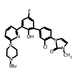 Cn1ccn(-c2ccc(-c3cc(F)cc(-c4cccc(N5CCN(C(C)(C)C)CC5)n4)c3O)cc2Cl)c1=O